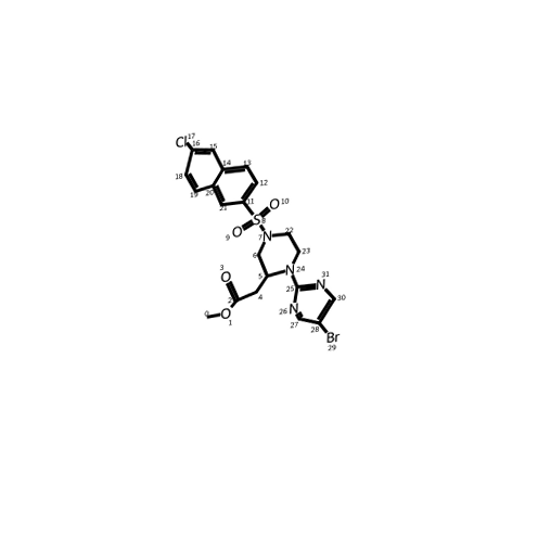 COC(=O)CC1CN(S(=O)(=O)c2ccc3cc(Cl)ccc3c2)CCN1c1ncc(Br)cn1